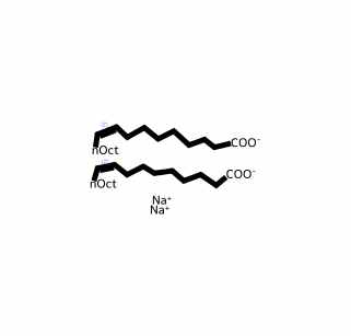 CCCCCCCC/C=C\CCCCCCCC(=O)[O-].CCCCCCCC/C=C\CCCCCCCC(=O)[O-].[Na+].[Na+]